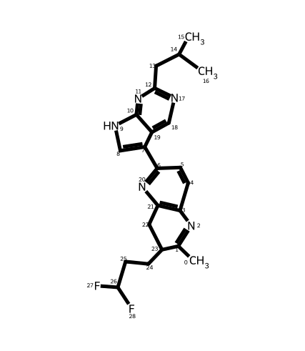 CC1=Nc2ccc(-c3c[nH]c4nc(CC(C)C)ncc34)nc2CC1CCC(F)F